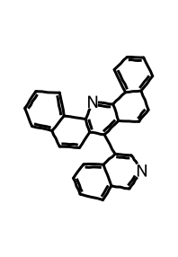 c1ccc2c(-c3c4ccc5ccccc5c4nc4c3ccc3ccccc34)cncc2c1